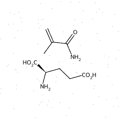 C=C(C)C(N)=O.N[C@H](CCC(=O)O)C(=O)O